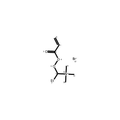 C=CC(=O)OOC(CC)[N+](C)(C)C.[Br-]